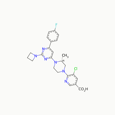 C[C@@H]1CN(c2ncc(C(=O)O)cc2Cl)CCN1c1cc(-c2ccc(F)cc2)nc(N2CCC2)n1